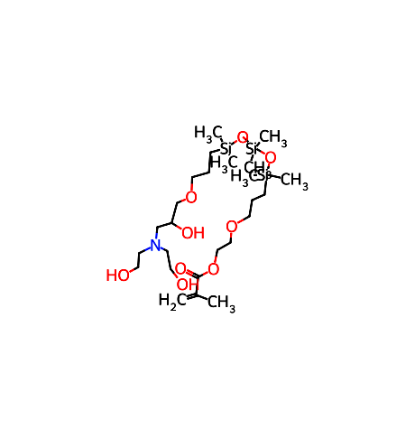 C=C(C)C(=O)OCCOCCC[Si](C)(C)O[Si](C)(C)O[Si](C)(C)CCCOCC(O)CN(CCO)CCO